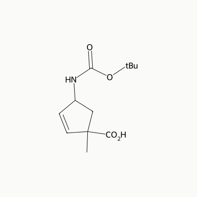 CC(C)(C)OC(=O)NC1C=CC(C)(C(=O)O)C1